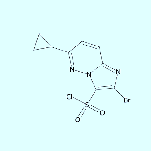 O=S(=O)(Cl)c1c(Br)nc2ccc(C3CC3)nn12